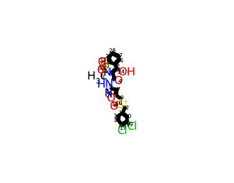 CN1C(C(=O)Nc2cc(C[S+]([O-])Cc3ccc(Cl)c(Cl)c3)on2)=C(O)c2ccccc2S1(=O)=O